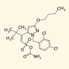 CCCCOc1cc(C(=CS(=O)(=O)OC(N)=O)C(C)(C)C)n(Cc2ccc(Cl)cc2Cl)n1